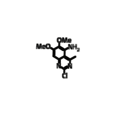 COc1cc2nc(Cl)nc(C)c2c(N)c1OC